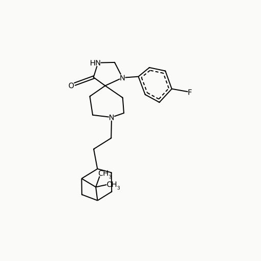 CC1(C)C2CCC(CCN3CCC4(CC3)C(=O)NCN4c3ccc(F)cc3)C1C2